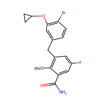 COc1c(Cc2ccc(Br)c(OC3CC3)c2)cc(F)cc1C(N)=O